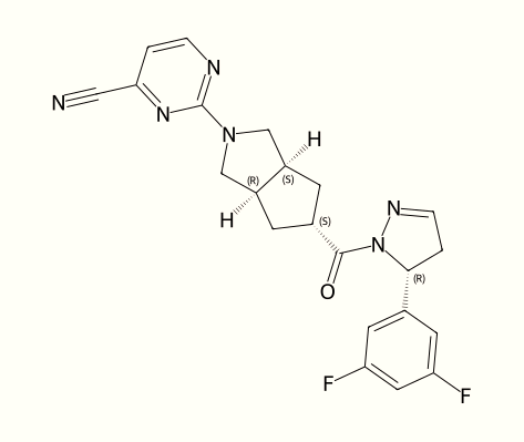 N#Cc1ccnc(N2C[C@H]3C[C@H](C(=O)N4N=CC[C@@H]4c4cc(F)cc(F)c4)C[C@H]3C2)n1